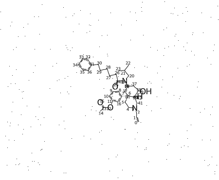 C=CCN1CC[C@@]2(c3cccc(OC(C)=O)c3)C[C@@H](N(CC(C)C)C(=O)CCCCCc3ccccc3)CC(O)[C@@H]2C1